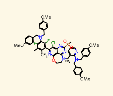 COc1ccc(CN(Cc2ccc(OC)cc2)c2ncccc2[C@@H](C)N2CCOc3nc(-c4c(F)c(N(Cc5ccc(OC)cc5)Cc5ccc(OC)cc5)c(F)c(C)c4C(F)(F)F)c(Cl)c4nc(S(C)(=O)=O)nc2c34)cc1